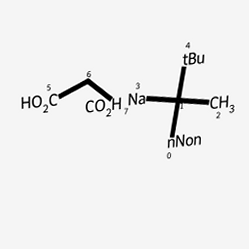 CCCCCCCCC[C](C)([Na])C(C)(C)C.O=C(O)CC(=O)O